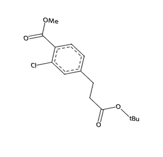 COC(=O)c1ccc(CCC(=O)OC(C)(C)C)cc1Cl